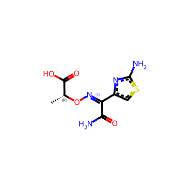 C[C@@H](O/N=C(\C(N)=O)c1csc(N)n1)C(=O)O